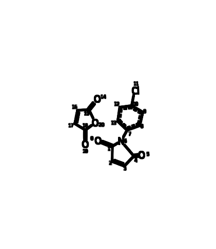 O=C1C=CC(=O)N1c1ccc(Cl)cc1.O=C1C=CC(=O)O1